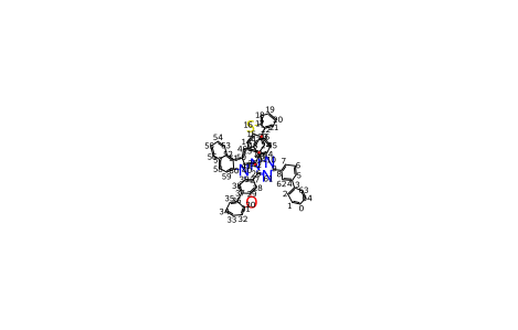 c1ccc(-c2cccc(-c3nc(-c4ccc5sc6ccccc6c5c4)nc(-c4cc5oc6ccccc6c5cc4-n4c5cc6ccccc6cc5c5c6ccccc6ccc54)n3)c2)cc1